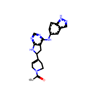 CC(C)(C)C(=O)N1CC=C(C2Cc3c(Nc4ccc5[nH]ncc5c4)ncnc3N2)CC1